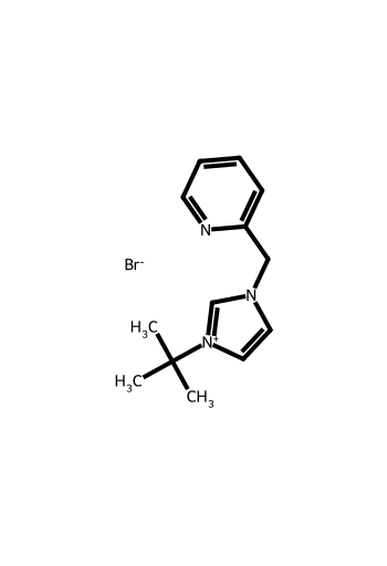 CC(C)(C)[n+]1ccn(Cc2ccccn2)c1.[Br-]